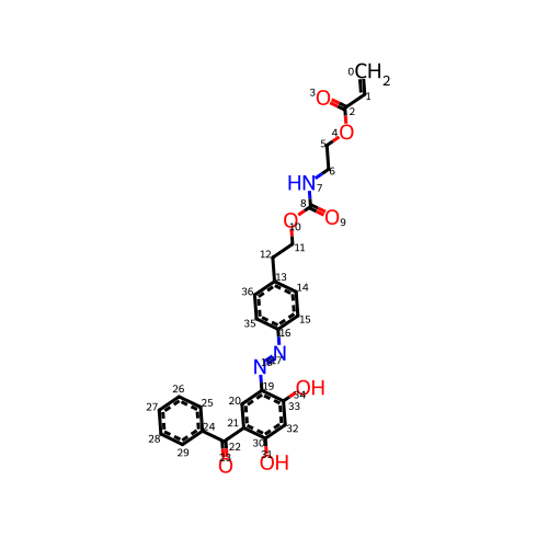 C=CC(=O)OCCNC(=O)OCCc1ccc(N=Nc2cc(C(=O)c3ccccc3)c(O)cc2O)cc1